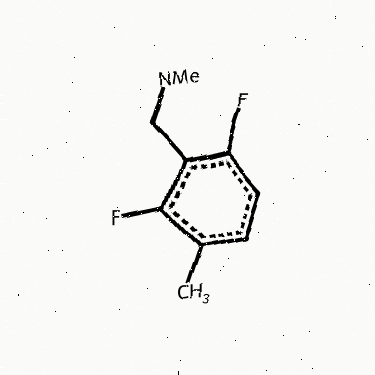 CNCc1c(F)ccc(C)c1F